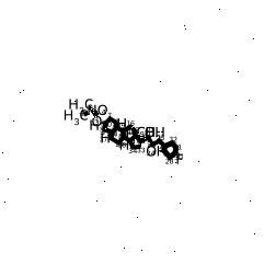 CN(C)C(=O)O[C@H]1CC[C@@]2(C)[C@@H](CC[C@@H]3[C@@H]2CC[C@]2(C)[C@@H]([C@H](O)[C@@H](O)Cc4ccc(F)cc4)CC[C@@H]32)C1